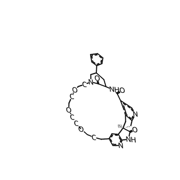 O=C1NC2CC(c3ccccc3)CN(CCOCCOCCOCCCc3cnc4c(c3)[C@@]3(Cc5cc1cnc5C3)C(=O)N4)C2=O